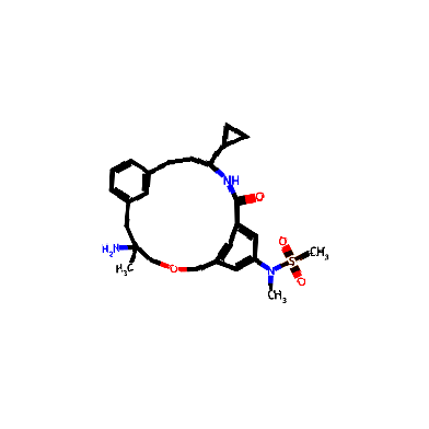 CN(c1cc2cc(c1)C(=O)NC(C1CC1)CCc1cccc(c1)CC(C)(N)COC2)S(C)(=O)=O